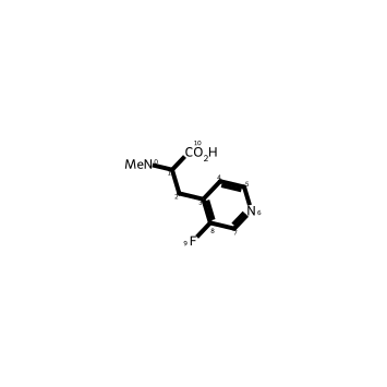 CNC(Cc1ccncc1F)C(=O)O